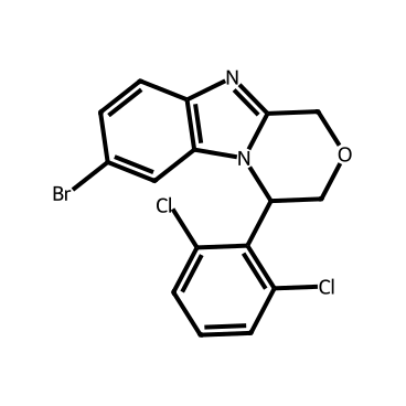 Clc1cccc(Cl)c1C1COCc2nc3ccc(Br)cc3n21